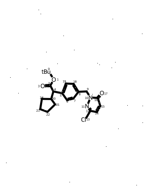 CC(C)(C)OC(=O)C(c1ccc(Cn2nc(Cl)ccc2=O)cc1)C1CCCC1